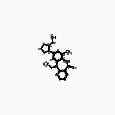 CCN1c2ncccc2C(=O)Nc2c(C)cc(N3CCC[C@H]3CO)nc21